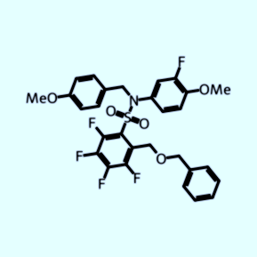 COc1ccc(CN(c2ccc(OC)c(F)c2)S(=O)(=O)c2c(F)c(F)c(F)c(F)c2COCc2ccccc2)cc1